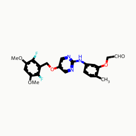 COc1cc(OC)c(F)c(COc2cnc(Nc3ccc(C)c(OCC=O)c3)nc2)c1F